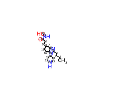 CCCCc1nc2cc(C=CC(=O)NO)ccc2n1C1CCNCC1